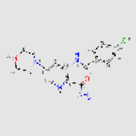 NC(=O)c1ncc(N2CCOCC2)cc1NCc1ccc(Cl)cc1